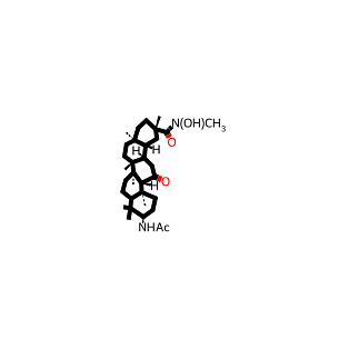 CC(=O)N[C@H]1CC[C@@]2(C)C(CC[C@]3(C)[C@@H]2C(=O)C[C@@H]2[C@H]4C[C@@](C)(C(=O)N(C)O)CC[C@]4(C)CC[C@]23C)C1(C)C